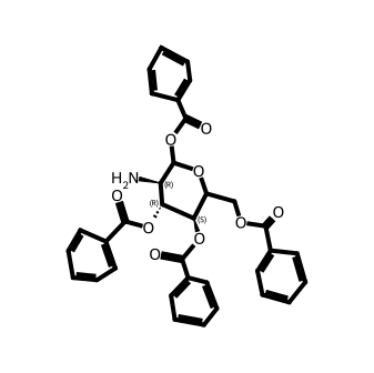 N[C@H]1C(OC(=O)c2ccccc2)OC(COC(=O)c2ccccc2)[C@@H](OC(=O)c2ccccc2)[C@@H]1OC(=O)c1ccccc1